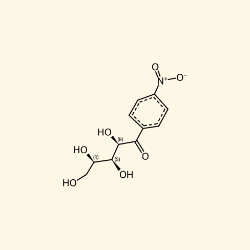 O=C(c1ccc([N+](=O)[O-])cc1)[C@H](O)[C@@H](O)[C@H](O)CO